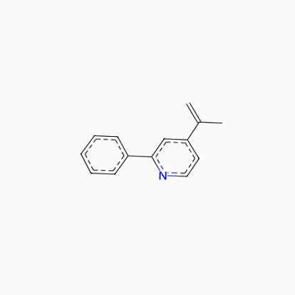 C=C(C)c1ccnc(-c2ccccc2)c1